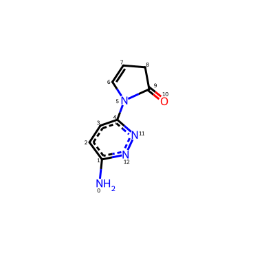 Nc1ccc(N2C=CCC2=O)nn1